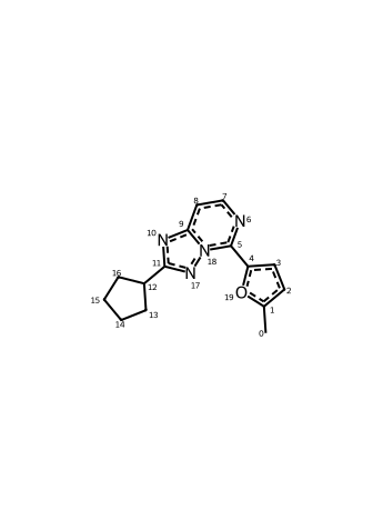 Cc1ccc(-c2nccc3nc(C4CCCC4)nn23)o1